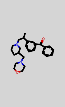 CC(CN1CCCC(CN2CCOCC2)C1)c1cccc(C(=O)c2ccccc2)c1